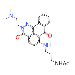 CC(=O)NCCCNc1ccc2c(=O)n(CCN(C)C)nc3c2c1C(=O)c1ccccc1-3